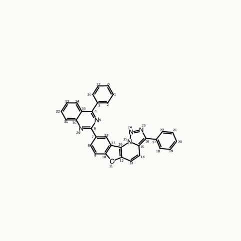 c1ccc(-c2nc(-c3ccc4oc5ccc6c(-c7ccccc7)nnn6c5c4c3)nc3ccccc23)cc1